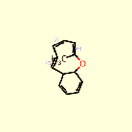 C\C1=C/C=C\C=C\C2C=CC=CC2O1